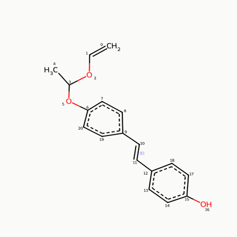 C=COC(C)Oc1ccc(/C=C/c2ccc(O)cc2)cc1